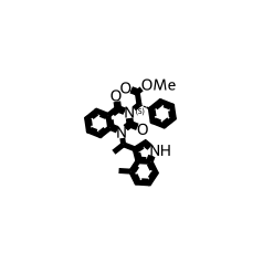 COC(=O)[C@H](c1ccccc1)n1c(=O)c2ccccc2n(C(C)c2c[nH]c3cccc(C)c23)c1=O